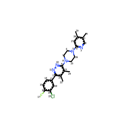 Cc1cnc(N2CCN(c3nnc(-c4ccc(F)c(Cl)c4)c(C)c3C)CC2)cc1C